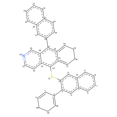 C1=CC(c2cc3ccccc3cc2Sc2c3c(c(-c4ccc5ccccc5c4)c4cnccc24)=CCCC=3)=CCC1